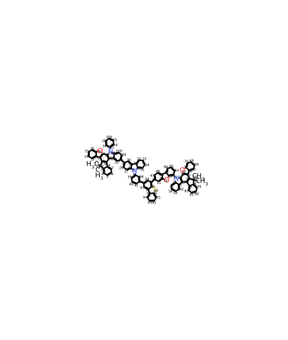 CC1(C)c2ccccc2-c2c1c1c3ccccc3oc1c1c2c2cc(-c3ccc4c(c3)c3ccccc3n4-c3cccc(-c4cc(-c5ccc6c(c5)oc5c(-n7c8ccccc8c8c9c(c%10c%11ccccc%11oc%10c87)C(C)(C)c7ccccc7-9)cccc56)c5sc6ccccc6c5c4)c3)ccc2n1-c1ccccc1